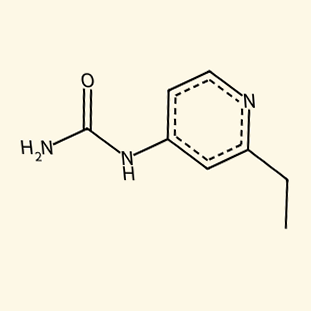 CCc1cc(NC(N)=O)ccn1